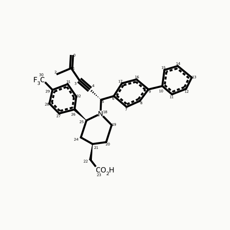 C=C(C)C#C[C@H](c1ccc(-c2ccccc2)cc1)N1CC[C@@H](CC(=O)O)C[C@H]1c1ccc(C(F)(F)F)cc1